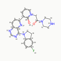 O=C(Cn1cccc(-c2ccc3ncnc(N4CCc5cc(F)ccc54)c3n2)c1=O)N1CCNCC1